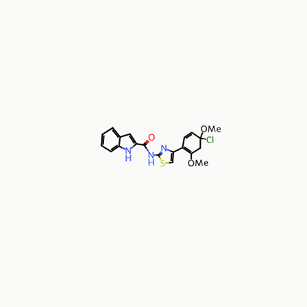 COC1=C(c2csc(NC(=O)c3cc4ccccc4[nH]3)n2)C=CC(Cl)(OC)C1